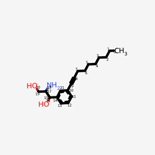 CCCCCCCCC#Cc1cccc(C(O)C(N)CO)c1